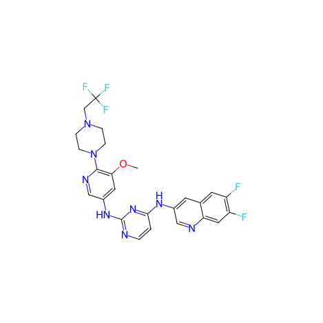 COc1cc(Nc2nccc(Nc3cnc4cc(F)c(F)cc4c3)n2)cnc1N1CCN(CC(F)(F)F)CC1